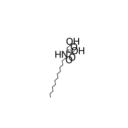 CCCCCCCCCCCCC(=O)N[C@@H](CC(=O)O)C(=O)O